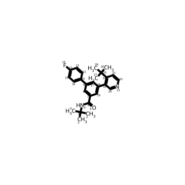 CC(C)(C)NC(=O)c1cc(-c2ccc(F)cc2)cc(-c2cnccc2C(C)(C)C)c1